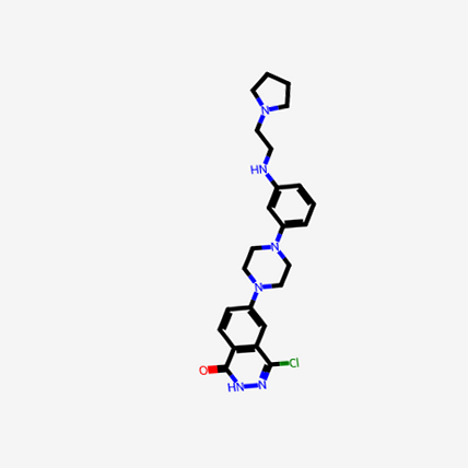 O=c1[nH]nc(Cl)c2cc(N3CCN(c4cccc(NCCN5CCCC5)c4)CC3)ccc12